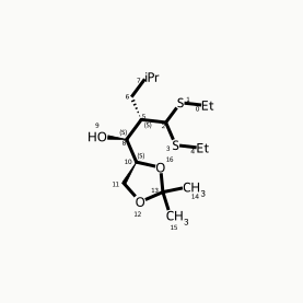 CCSC(SCC)[C@@H](CC(C)C)[C@H](O)[C@@H]1COC(C)(C)O1